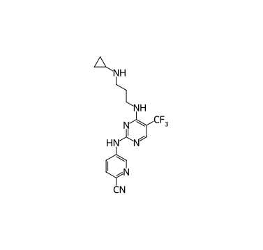 N#Cc1ccc(Nc2ncc(C(F)(F)F)c(NCCCNC3CC3)n2)cn1